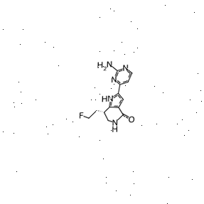 Nc1nccc(-c2cc3c([nH]2)[C@@H](CCF)CNC3=O)n1